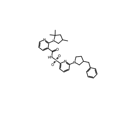 CC1CN(c2ncccc2C(=O)NS(=O)(=O)c2cccc(N3CCC(Cc4ccccc4)C3)n2)C(C)(C)C1